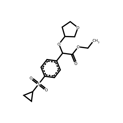 CCOC(=O)C(OC1CCOC1)c1ccc(S(=O)(=O)C2CC2)cc1